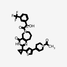 CC(=O)N1CC=C(c2csc(C3(c4nc5c(c(=O)[nH]4)CN(C(=O)[C@H](O)c4cccc(C(F)(F)F)c4)CCC5)CC3)c2)CC1